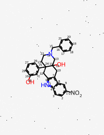 O=[N+]([O-])c1ccc2[nH]c3c(c2c1)CC1(O)CN(Cc2ccccc2)CCC1(c1cccc(O)c1)C3